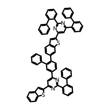 c1ccc(-c2cc(-c3cc(-c4cc5ccccc5s4)nc(-c4ccccc4-c4ccccc4)n3)ccc2-c2ccc3cc(-c4cc(-c5ccccc5-c5ccccc5)nc(-c5ccccc5-c5ccccc5)n4)sc3c2)cc1